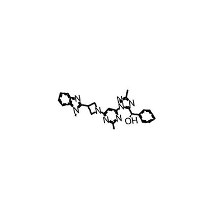 Cc1nc(N2CC(c3nc4ccccc4n3C)C2)cc(-n2nc(C)nc2[C@H](O)c2ccccc2)n1